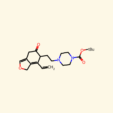 C=CC1=C2COC=C2CC(=O)C1CCN1CCN(C(=O)OC(C)(C)C)CC1